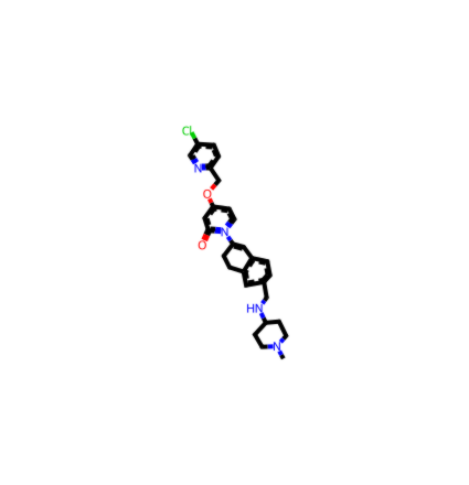 CN1CCC(NCc2ccc3c(c2)CCC(n2ccc(OCc4ccc(Cl)cn4)cc2=O)=C3)CC1